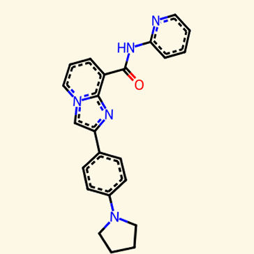 O=C(Nc1ccccn1)c1cccn2cc(-c3ccc(N4CCCC4)cc3)nc12